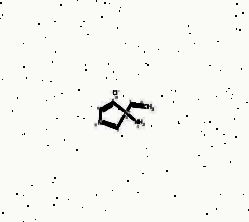 C=C[N+]1(N)C=CN=C1.[Cl-]